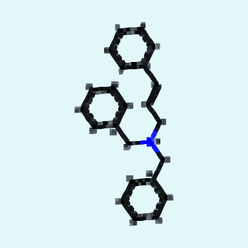 C(=Cc1ccccc1)CN(Cc1ccccc1)Cc1ccccc1